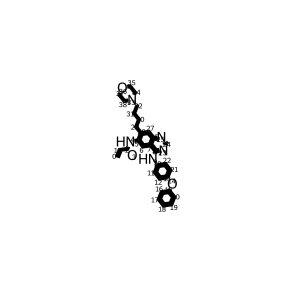 C=CC(=O)Nc1cc2c(Nc3ccc(Oc4ccccc4)cc3)ncnc2cc1CCCCN1CCOCC1